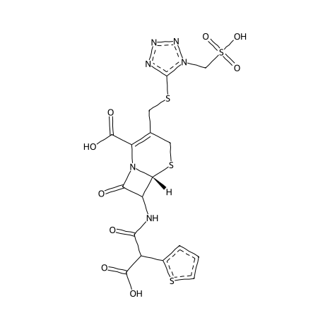 O=C(O)C1=C(CSc2nnnn2CS(=O)(=O)O)CS[C@@H]2C(NC(=O)C(C(=O)O)c3cccs3)C(=O)N12